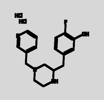 Cl.Cl.Oc1cc(CC2CN(Cc3cccnc3)CCN2)ccc1F